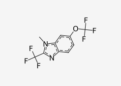 Cn1c(C(F)(F)F)nc2ccc(OC(F)(F)F)cc21